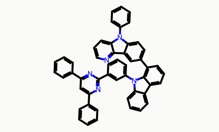 c1ccc(-c2cc(-c3ccccc3)nc(-c3cccc(-n4c5ccccc5c5cccc(-c6ccc7c(c6)c6ncccc6n7-c6ccccc6)c54)c3)n2)cc1